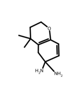 CC1(C)CCOC2=C1CC(N)(N)C=C2